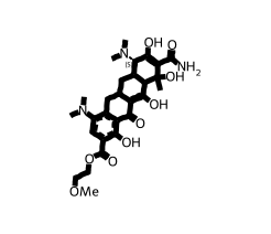 COCCOC(=O)c1cc(N(C)C)c2c(c1O)C(=O)C1=C(O)C3C(CC1C2)[C@H](N(C)C)C(O)=C(C(N)=O)C3(C)O